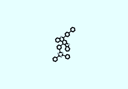 c1ccc(-c2ccc(-c3nc4ccccc4c4c(-c5cccc(-c6nc(-c7ccccc7)nc(-c7ccccc7)n6)c5)c5c(cc34)oc3ccccc35)cc2)cc1